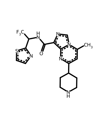 Cc1cc(C2CCNCC2)nc2c(C(=O)NC(c3nccs3)C(F)(F)F)ncn12